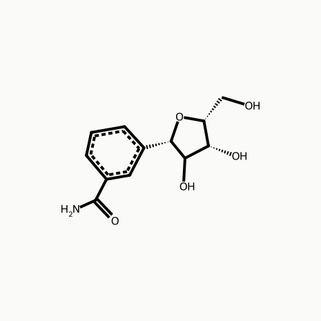 NC(=O)c1cccc([C@@H]2O[C@H](CO)[C@H](O)C2O)c1